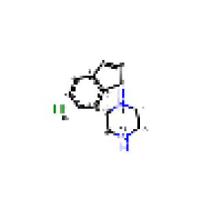 C1=Cc2ccccc2C1.C1CNCCN1.F